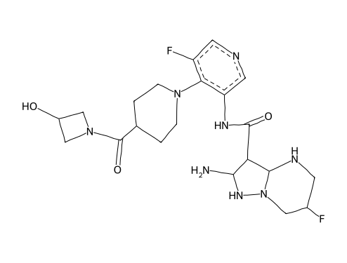 NC1NN2CC(F)CNC2C1C(=O)Nc1cncc(F)c1N1CCC(C(=O)N2CC(O)C2)CC1